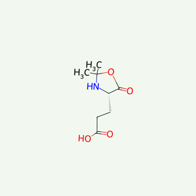 CC1(C)N[C@@H](CCC(=O)O)C(=O)O1